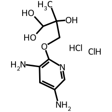 CC(O)(COc1ncc(N)cc1N)C(O)O.Cl.Cl